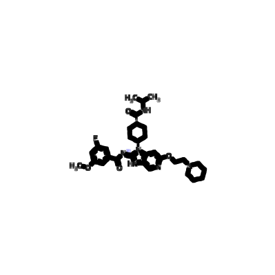 COc1cc(F)cc(C(=O)/N=c2\[nH]c3cnc(OCCN4CCCCC4)cc3n2[C@H]2CC[C@@H](C(=O)NC(C)C)CC2)c1